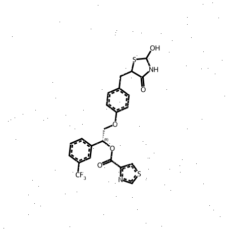 O=C(O[C@@H](COc1ccc(CC2SC(O)NC2=O)cc1)c1cccc(C(F)(F)F)c1)c1cscn1